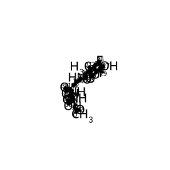 CC(=O)CC[C@H](NC(=O)N[C@@H](CCCCNC(=O)Cc1c(C)c2cc(F)c(O)c(F)c2oc1=O)C(=O)O)C(=O)O